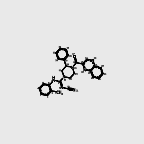 Cc1ccccc1N/C(=N/C#N)N1CCN(C(=O)c2cnc3ccccc3n2)C(c2ccccc2)C1